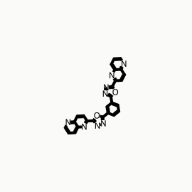 c1cc(-c2nnc(-c3ccc4ncccc4n3)o2)cc(-c2nnc(-c3ccc4ncccc4n3)o2)c1